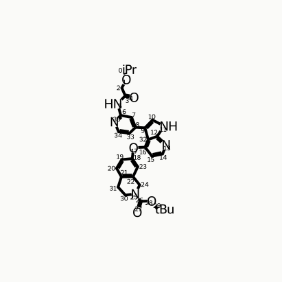 CC(C)OCC(=O)Nc1cc(-c2c[nH]c3nccc(Oc4ccc5c(c4)CN(C(=O)OC(C)(C)C)CC5)c23)ccn1